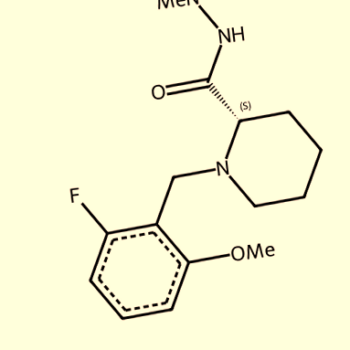 CNNC(=O)[C@@H]1CCCCN1Cc1c(F)cccc1OC